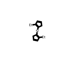 CCC1=[C]([Sr][C]2=C(CC)C=CC2)CC=C1